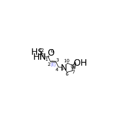 O=C(/C=C/CN1CC[C@H](O)C1)NS